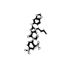 CCCCn1c(Sc2ccc3c(c2)OCO3)nc2c(=O)n(-c3ccc([N+](=O)[O-])cc3[N+](=O)[O-])cnc21